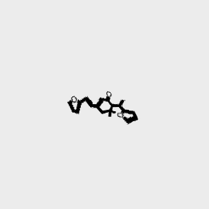 CC(=C1C(=O)C=C(C=Cc2ccco2)CC1(C)C)c1ccco1